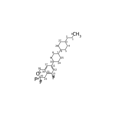 CCCC1CCC(C2CCC(c3cc(F)c4c(c3)COC(F)(F)C4)CC2)CC1